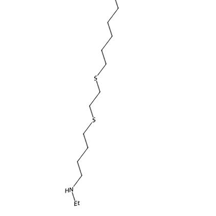 CCNCCCCSCCSCCCCCN